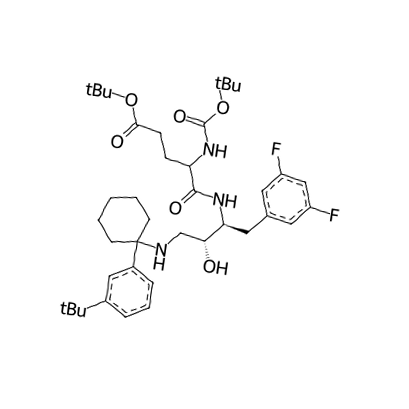 CC(C)(C)OC(=O)CCC(NC(=O)OC(C)(C)C)C(=O)N[C@@H](Cc1cc(F)cc(F)c1)[C@H](O)CNC1(c2cccc(C(C)(C)C)c2)CCCCC1